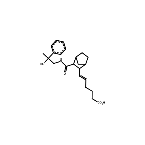 CC(O)(CNC(=O)C1C2CCC(C2)C1C=CCCCC(=O)O)c1ccccc1